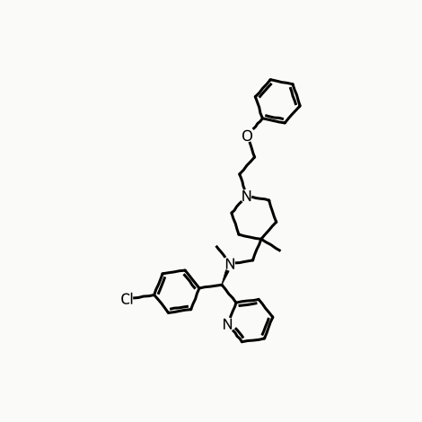 CN(CC1(C)CCN(CCOc2ccccc2)CC1)[C@H](c1ccc(Cl)cc1)c1ccccn1